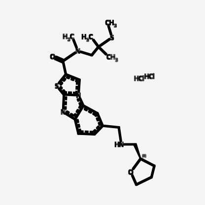 CSC(C)(C)CN(C)C(=O)c1cn2c(nc3ccc(CNC[C@H]4CCCO4)cc32)s1.Cl.Cl